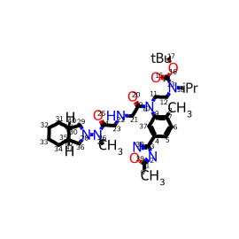 Cc1nc(-c2ccc(C)c(N(CCN(C(=O)OC(C)(C)C)C(C)C)C(=O)CNCC(=O)N(C)N3C[C@H]4CCCC[C@H]4C3)c2)no1